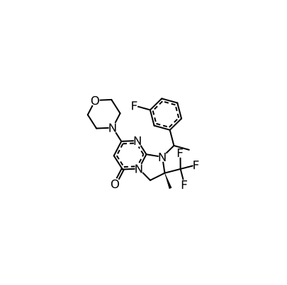 CC(c1cccc(F)c1)N1c2nc(N3CCOCC3)cc(=O)n2C[C@@]1(C)C(F)(F)F